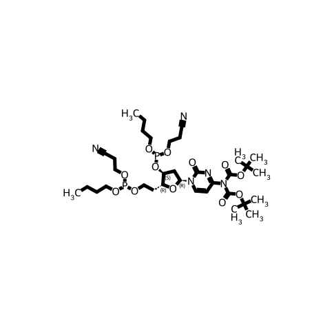 CCCCOP(OCCC#N)OCC[C@H]1O[C@@H](n2ccc(N(C(=O)OC(C)(C)C)C(=O)OC(C)(C)C)nc2=O)C[C@@H]1OP(OCCC#N)OCCCC